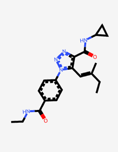 CCNC(=O)c1ccc(-n2nnc(C(=O)NC3CC3)c2/C=C(\C)CC)cc1